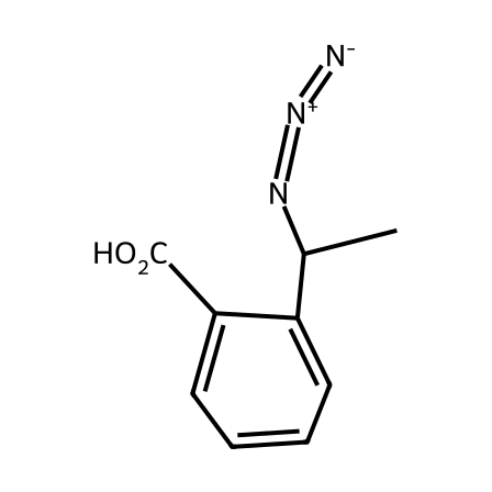 CC(N=[N+]=[N-])c1ccccc1C(=O)O